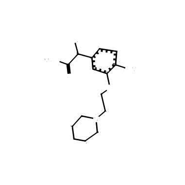 COC(=O)C(C)c1ccc(OC)c(OCCN2CCCCC2)c1